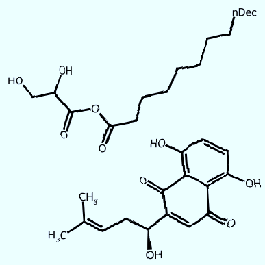 CC(C)=CC[C@H](O)C1=CC(=O)c2c(O)ccc(O)c2C1=O.CCCCCCCCCCCCCCCCCC(=O)OC(=O)C(O)CO